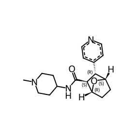 CN1CCC(NC(=O)[C@H]2[C@H](c3ccncc3)[C@@H]3CC[C@H]2O3)CC1